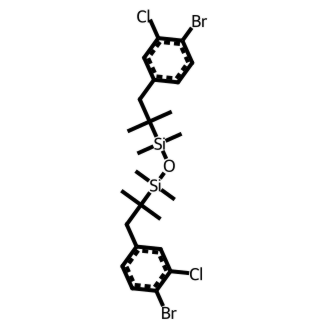 CC(C)(Cc1ccc(Br)c(Cl)c1)[Si](C)(C)O[Si](C)(C)C(C)(C)Cc1ccc(Br)c(Cl)c1